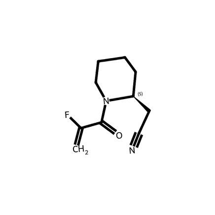 C=C(F)C(=O)N1CCCC[C@H]1CC#N